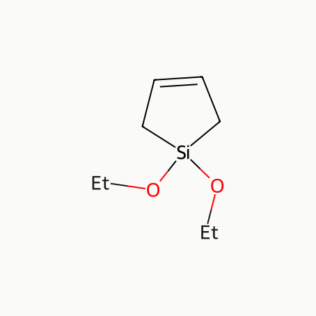 CCO[Si]1(OCC)CC=CC1